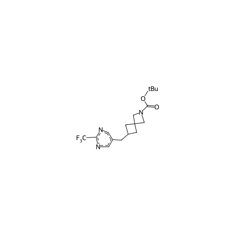 CC(C)(C)OC(=O)N1CC2(CC(Cc3cnc(C(F)(F)F)nc3)C2)C1